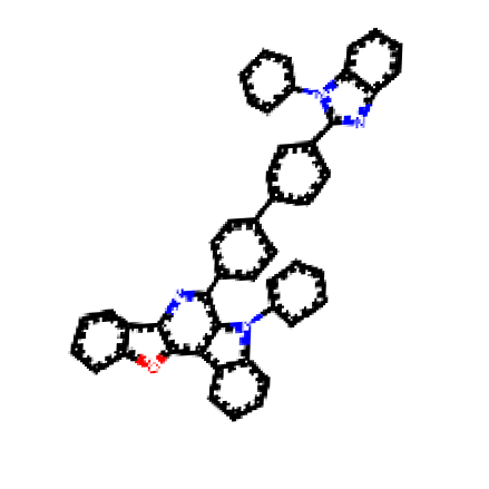 c1ccc(-n2c(-c3ccc(-c4ccc(-c5nc6c7ccccc7oc6c6c7ccccc7n(-c7ccccc7)c56)cc4)cc3)nc3ccccc32)cc1